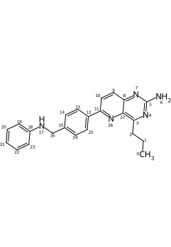 CCCc1nc(N)nc2ccc(-c3ccc(CNc4ccccc4)cc3)nc12